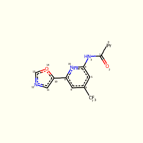 CC(C)C(=O)Nc1cc(C(F)(F)F)cc(-c2cnco2)n1